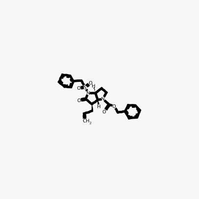 C=CC[C@H]1C(=O)N(S(=O)(=O)Cc2ccccc2)[C@H]2CCN(C(=O)OCc3ccccc3)[C@H]12